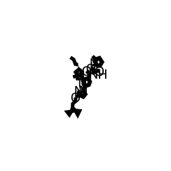 CCCC[C@@H]1CN(c2nc(-n3ccc(OCCC4C5(CC5)C45CC5)n3)ccc2C(=O)NS(=O)(=O)c2cccc(C)n2)C(C)(C)C1